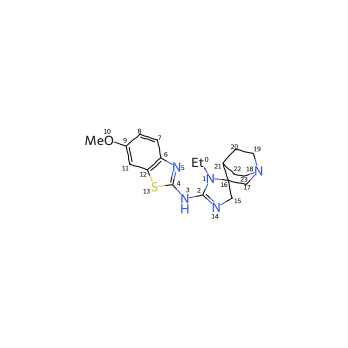 CCN1C(Nc2nc3ccc(OC)cc3s2)=NCC12CN1CCC2CC1